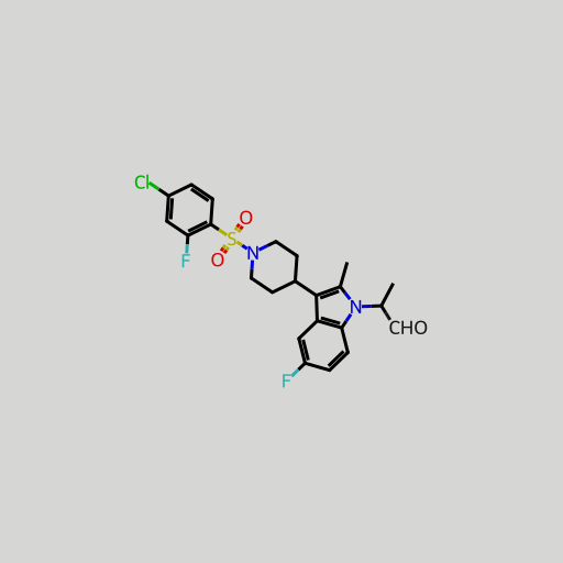 Cc1c(C2CCN(S(=O)(=O)c3ccc(Cl)cc3F)CC2)c2cc(F)ccc2n1C(C)C=O